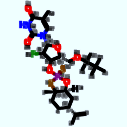 C=C(C)[C@@H]1CC[C@]2(C)SP(=S)(O[C@H]3[C@@H](F)[C@H](n4cc(C)c(=O)[nH]c4=O)O[C@@H]3CO[Si](C)(C)C(C)(C)C)O[C@H]2C1